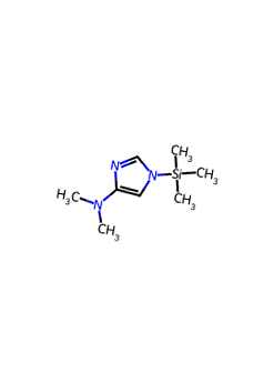 CN(C)c1cn([Si](C)(C)C)cn1